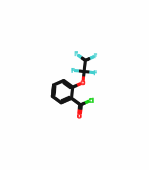 O=C(Cl)c1ccccc1OC(F)(F)C(F)F